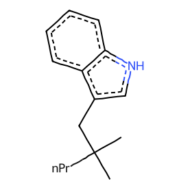 CCCC(C)(C)Cc1c[nH]c2ccccc12